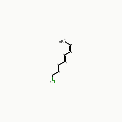 CCCC/C=C\C=C\CCCCl